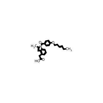 CCC=CCCOc1ccc(C(=O)n2c(C)cc3c(CC(=O)O)cccc32)cc1